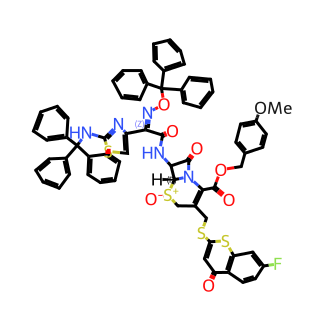 COc1ccc(COC(=O)C2=C(CSc3cc(=O)c4ccc(F)cc4s3)C[S+]([O-])[C@@H]3C(NC(=O)/C(=N\OC(c4ccccc4)(c4ccccc4)c4ccccc4)c4csc(NC(c5ccccc5)(c5ccccc5)c5ccccc5)n4)C(=O)N23)cc1